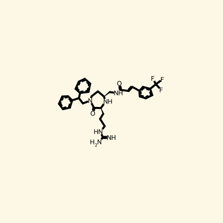 N=C(N)NCCC[C@@H]1N[C@H](CNC(=O)/C=C/c2cccc(C(F)(F)F)c2)CCN(CC(c2ccccc2)c2ccccc2)C1=O